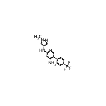 Cn1cc(Nc2cc(N)c(-c3ccc(C(F)(F)F)cc3)cn2)cn1